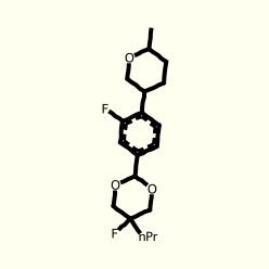 CCCC1(F)COC(c2ccc(C3CCC(C)OC3)c(F)c2)OC1